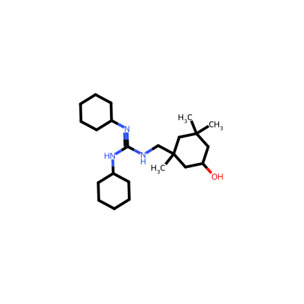 CC1(C)CC(O)CC(C)(CNC(=NC2CCCCC2)NC2CCCCC2)C1